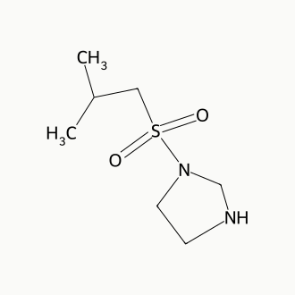 CC(C)CS(=O)(=O)N1CCNC1